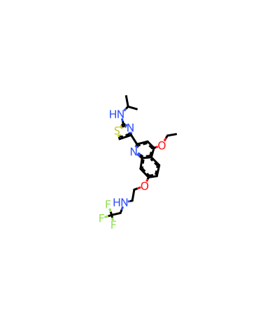 CCOc1cc(-c2csc(NC(C)C)n2)nc2cc(OCCNCC(F)(F)F)ccc12